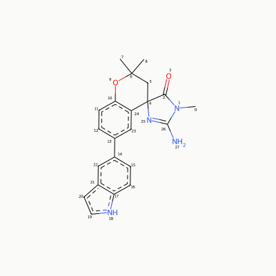 CN1C(=O)C2(CC(C)(C)Oc3ccc(-c4ccc5[nH]ccc5c4)cc32)N=C1N